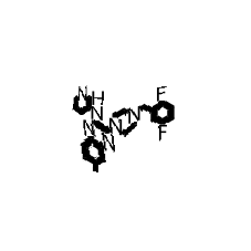 Cc1ccc2nc(Nc3cccnc3)c(N3CCN(Cc4cc(F)ccc4F)CC3)nc2c1